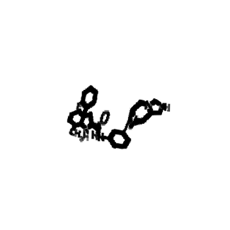 CC1CCC(F)C2(C3CCCCC3)CC(C(=O)N[C@@H]3CCC[C@@H](N4CCN5CNCC5C4)C3)NC12